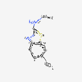 CCCCCNc1nc2ccc([N+](=O)[O-])cc2s1